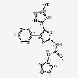 CCn1nnc(-c2sc(NC(=O)Oc3ccoc3)nc2-c2ccccc2)n1